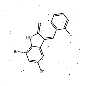 O=C1Nc2c(Br)cc(Br)cc2C1=Cc1ccccc1F